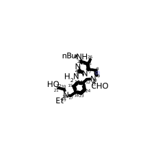 CCCCNc1nc(N)nc(/C=C\N(C=O)Cc2ccc(CN(CC)CCO)cc2)c1C